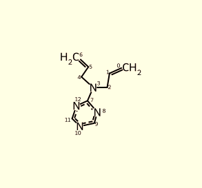 C=CCN(CC=C)c1ncncn1